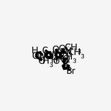 Cc1cc(N2C(=O)C(C(=O)NN(C)C)C(C)(NC(=O)c3ccc(Br)s3)C2C)ccc1N1CCOCC1=O